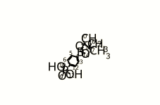 C=C1OB(c2ccc(P(=O)(O)O)cc2)OC1(C)C